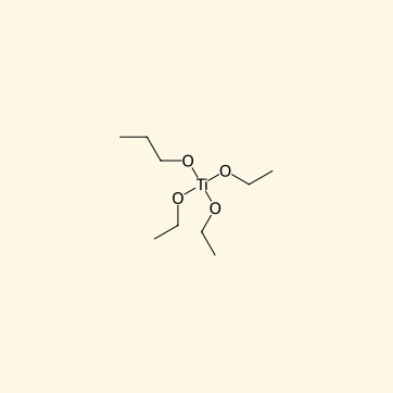 CCC[O][Ti]([O]CC)([O]CC)[O]CC